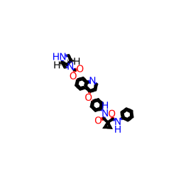 O=C(Oc1ccc2c(Oc3ccc(NC(=O)C4(C(=O)Nc5ccccc5)CC4)cc3)ccnc2c1)N1C[C@H]2C[C@@H]1CN2